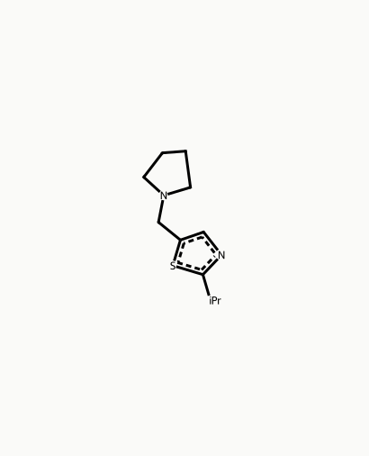 CC(C)c1ncc(CN2CCCC2)s1